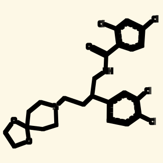 O=C(NCC(CCN1CCC2(CC1)OCCO2)c1ccc(Cl)c(Cl)c1)c1ccc(Cl)cc1Cl